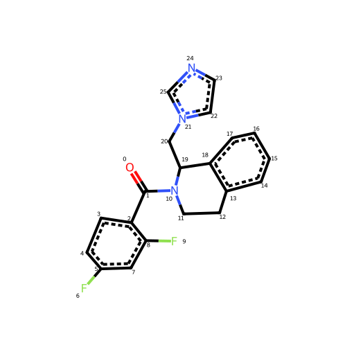 O=C(c1ccc(F)cc1F)N1CCc2ccccc2C1Cn1ccnc1